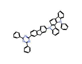 c1ccc(-c2nc(-c3ccccc3)nc(-c3ccc4c(c3)Cc3cc(-n5c6ccccc6c6c5ccc5c7ccccc7n(-c7ccccc7)c56)ccc3-4)n2)cc1